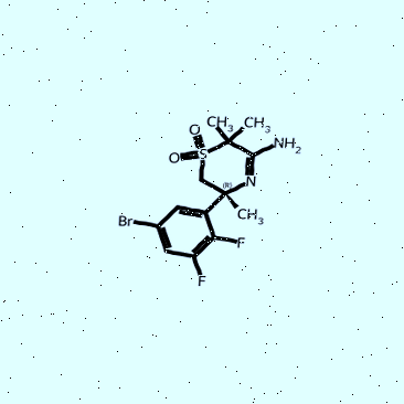 CC1(C)C(N)=N[C@](C)(c2cc(Br)cc(F)c2F)CS1(=O)=O